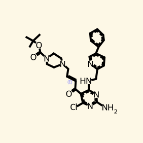 CC(C)(C)OC(=O)N1CCN(C/C=C/C(=O)c2c(Cl)nc(N)nc2NCc2ccc(-c3ccccc3)cn2)CC1